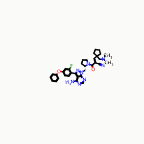 CN(C)CC1(/C=C(\C#N)C(=O)N2CCC[C@H]2Cn2nc(-c3ccc(Oc4ccccc4)cc3F)c3c(N)ncnc32)CCCC1